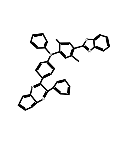 Cc1cc(N(c2ccccc2)c2ccc(-c3nc4ccccc4nc3-c3ccccc3)cc2)c(C)cc1-c1nc2ccccc2o1